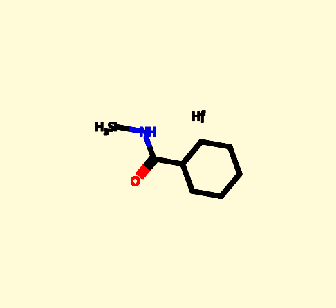 O=C(N[SiH3])C1CCCCC1.[Hf]